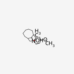 COc1ccc2c(c1)C1(C)CCCCCC(C2)/C1=N/O